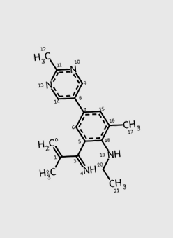 C=C(C)C(=N)c1cc(-c2cnc(C)nc2)cc(C)c1NCC